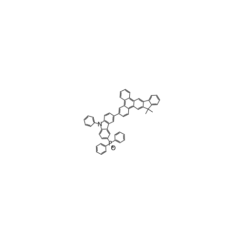 CC1(C)c2ccccc2-c2cc3c4ccccc4c4cc(-c5ccc6c(c5)c5cc(P(=O)(c7ccccc7)c7ccccc7)ccc5n6-c5ccccc5)ccc4c3cc21